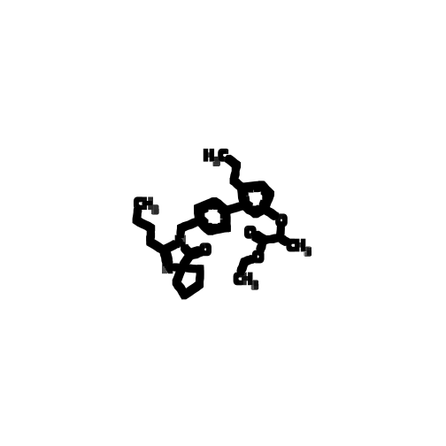 CCCCC1=NC2(CCCC2)C(=O)N1Cc1ccc(-c2cc(OC(C)C(=O)OCC)ccc2CCC)cc1